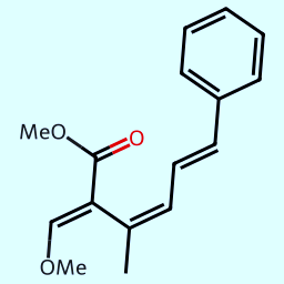 CO\C=C(C(=O)OC)/C(C)=C\C=C\c1ccccc1